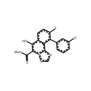 COC(=O)c1c(O)c2ccc(F)c(-c3cccc(Cl)c3)c2c2ncnn12